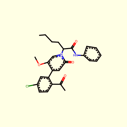 CCCCC(C(=O)Nc1ccccc1)n1cc(OC)c(-c2cc(Cl)ccc2C(C)=O)cc1=O